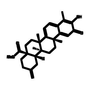 C=C1CC[C@]2(C(=O)OC)CC[C@]3(C)C4=CC=C5C(=CC(=O)C(O)=C5C)[C@]4(C)CC[C@@]3(C)[C@@H]2C1